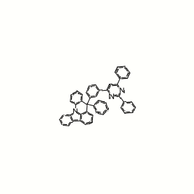 c1ccc(-c2cc(-c3cccc(C4(c5ccccc5)c5ccccc5-n5c6ccccc6c6cccc4c65)c3)nc(-c3ccccc3)n2)cc1